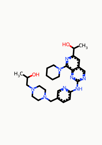 CC(O)CN1CCN(Cc2ccc(Nc3ncc4cc(C(C)O)nc(N5CCCCC5)c4n3)nc2)CC1